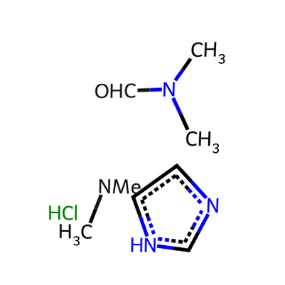 CN(C)C=O.CNC.Cl.c1c[nH]cn1